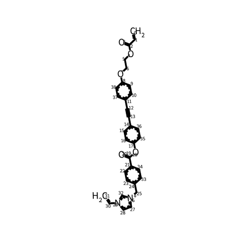 C=CC(=O)OCCOc1ccc(C#Cc2ccc(OC(=O)c3ccc(C[n+]4ccn(C=C)c4)cc3)cc2)cc1